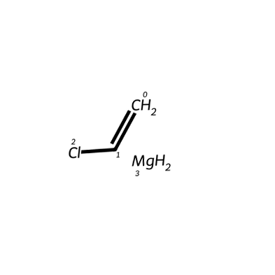 C=CCl.[MgH2]